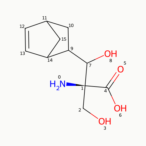 N[C@](CO)(C(=O)O)C(O)C1CC2C=CC1C2